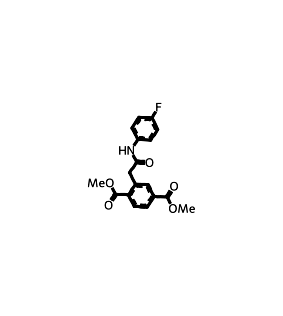 COC(=O)c1ccc(C(=O)OC)c(CC(=O)Nc2ccc(F)cc2)c1